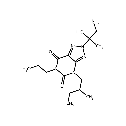 CCCn1c(=O)c2nn(C(C)(C)CN)nc2n(CC(C)CC)c1=O